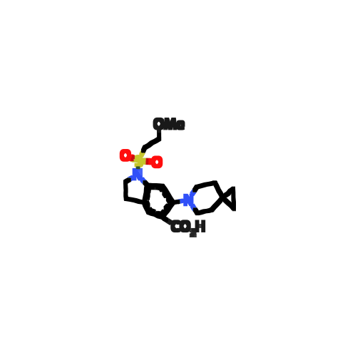 COCCS(=O)(=O)N1CCc2cc(C(=O)O)c(N3CCC4(CC3)CC4)cc21